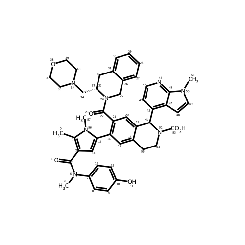 Cc1c(C(=O)N(C)c2ccc(O)cc2)cc(-c2cc3c(cc2C(=O)N2Cc4ccccc4C[C@H]2CN2CCOCC2)C(c2ccnc4c2ccn4C)N(C(=O)O)CC3)n1C